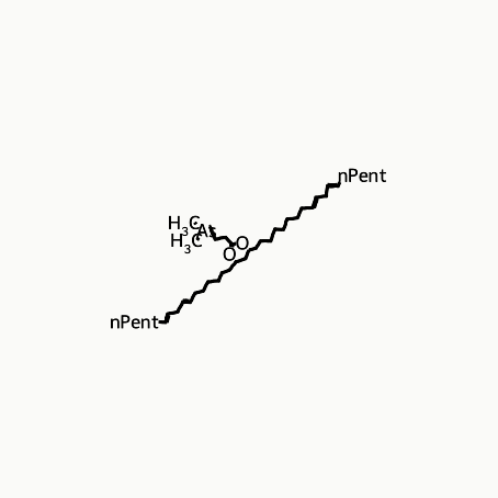 CCCCC/C=C/C/C=C/CCCCCCCCC(CCCCCCCC/C=C/C/C=C/CCCCC)OC(=O)CCC[As](C)C